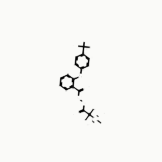 CC(C)(C(=O)NNC(=O)c1ccccc1Nc1ccc(C(F)(F)F)cc1)S(C)(=O)=O